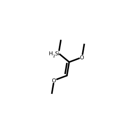 COC=C(OC)[SiH2]C